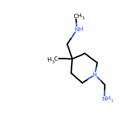 CNCC1(C)CCN(CN)CC1